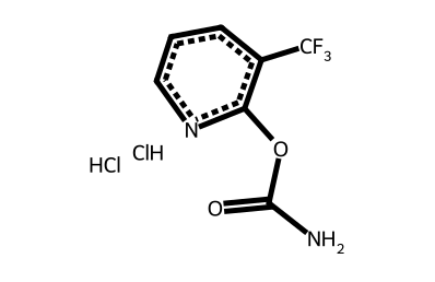 Cl.Cl.NC(=O)Oc1ncccc1C(F)(F)F